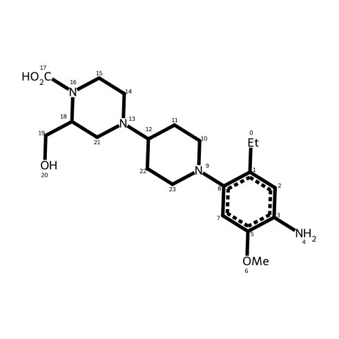 CCc1cc(N)c(OC)cc1N1CCC(N2CCN(C(=O)O)C(CO)C2)CC1